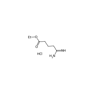 CCOC(=O)CCCC(=N)N.Cl